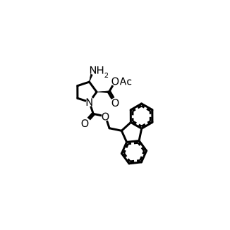 CC(=O)OC(=O)[C@@H]1[C@H](N)CCN1C(=O)OCC1c2ccccc2-c2ccccc21